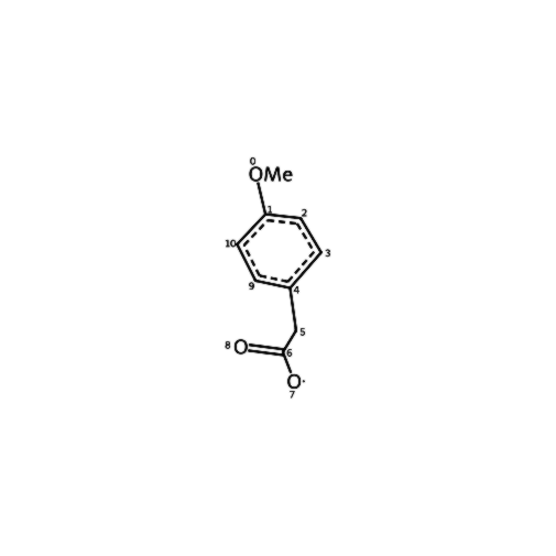 COc1ccc(CC([O])=O)cc1